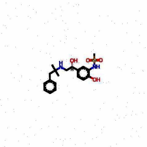 CC(C)(Cc1ccccc1)NC[C@H](O)c1ccc(O)c(NS(C)(=O)=O)c1